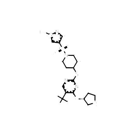 Cn1cc(S(=O)(=O)N2CCC(Nc3ncc(C(F)(F)F)c(O[C@H]4CCOC4)n3)CC2)cn1